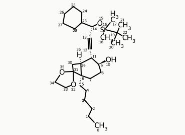 CCCCCC[C@@]12CC[C@H](O)[C@@H](C#C[C@@H](O[Si](C)(C)C(C)(C)C)C3CCCCC3)[C@@H]1CC21OCCO1